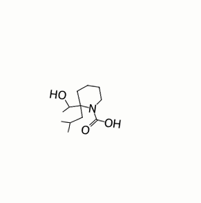 CC(C)CC1(C(C)O)CCCCN1C(=O)O